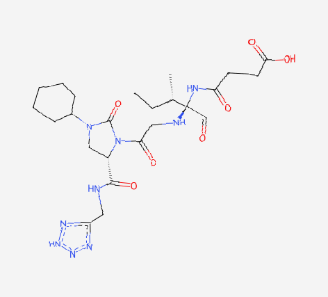 CC[C@H](C)[C@](C=O)(NCC(=O)N1C(=O)N(C2CCCCC2)C[C@H]1C(=O)NCc1nn[nH]n1)NC(=O)CCC(=O)O